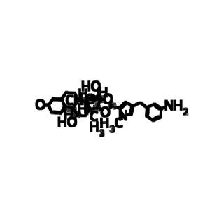 Cn1cc(Cc2cccc(N)c2)cc1[C@@H]1O[C@@H]2C[C@H]3[C@@H]4CCC5=CC(=O)C=C[C@]5(C)[C@H]4[C@@H](O)C[C@]3(C)[C@]2(C(=O)CO)O1